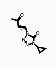 CC(=O)/C=C/n1nnn(C2CC2)c1=O